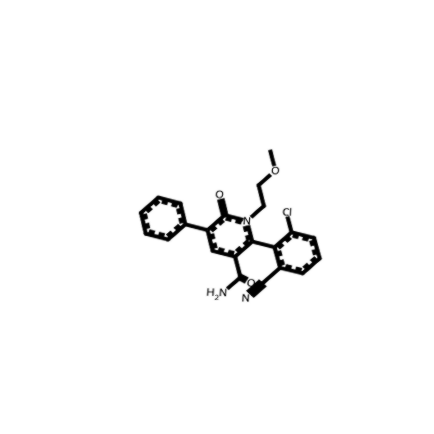 COCCn1c(-c2c(Cl)cccc2C#N)c(C(N)=O)cc(-c2ccccc2)c1=O